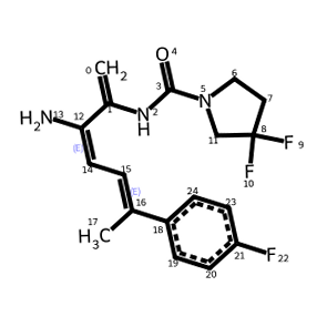 C=C(NC(=O)N1CCC(F)(F)C1)/C(N)=C\C=C(/C)c1ccc(F)cc1